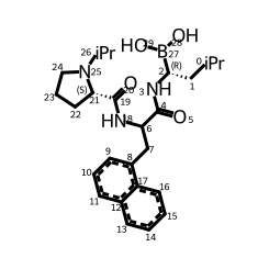 CC(C)C[C@H](NC(=O)C(Cc1cccc2ccccc12)NC(=O)[C@@H]1CCCN1C(C)C)B(O)O